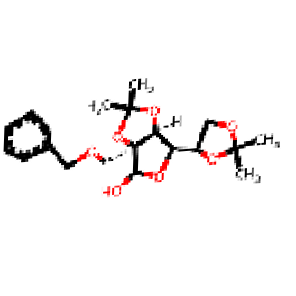 CC1(C)OCC([C@H]2OC(O)[C@@]3(COCc4ccccc4)OC(C)(C)O[C@@H]23)O1